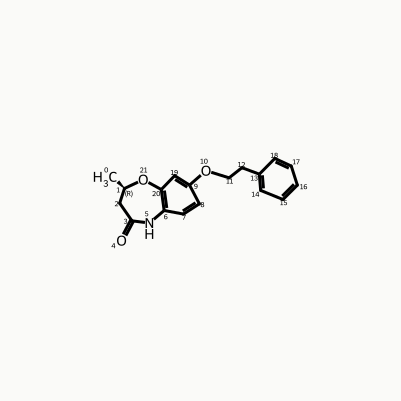 C[C@@H]1CC(=O)Nc2ccc(OCCc3ccccc3)cc2O1